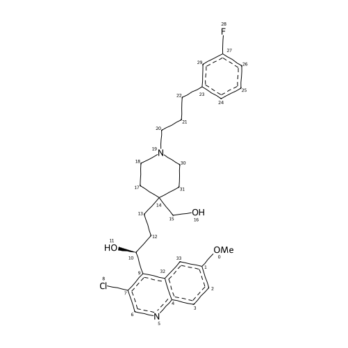 COc1ccc2ncc(Cl)c([C@@H](O)CCC3(CO)CCN(CCCc4cccc(F)c4)CC3)c2c1